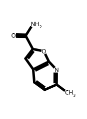 Cc1ccc2cc(C(N)=O)oc2n1